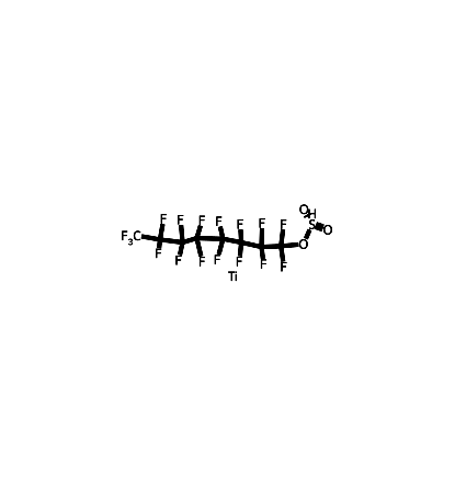 O=[SH](=O)OC(F)(F)C(F)(F)C(F)(F)C(F)(F)C(F)(F)C(F)(F)C(F)(F)C(F)(F)F.[Ti]